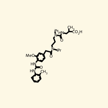 COc1cc(CC(=O)N(CCCN(C(=O)NCC(C)C(=O)O)C(C)C)C(C)C)ccc1NC(=O)Nc1ccccc1C